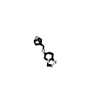 c1cc2nncn2cc1OCC12COC(C1)C2